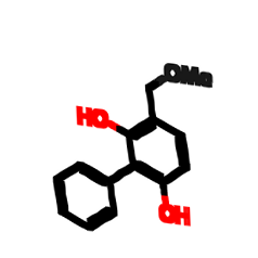 COCc1ccc(O)c(-c2ccccc2)c1O